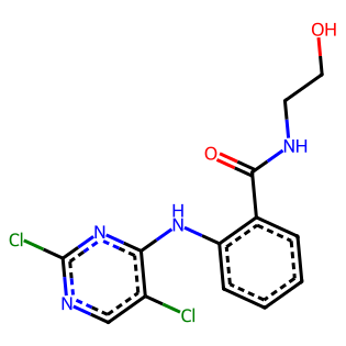 O=C(NCCO)c1ccccc1Nc1nc(Cl)ncc1Cl